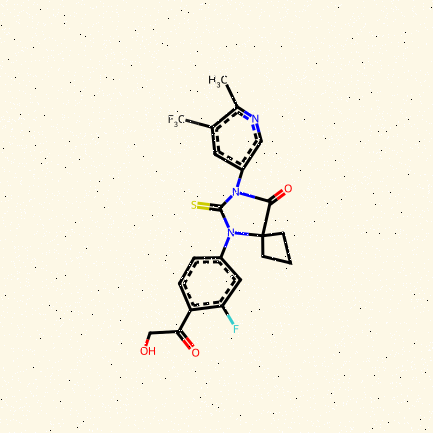 Cc1ncc(N2C(=O)C3(CCC3)N(c3ccc(C(=O)CO)c(F)c3)C2=S)cc1C(F)(F)F